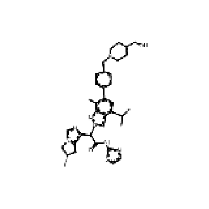 Cc1c(-c2ccc(CN3CCC(CO)CC3)cc2)cc(C(F)F)c2cn(C(C(=O)Nc3nccs3)c3ncn4c3C[C@@H](F)C4)nc12